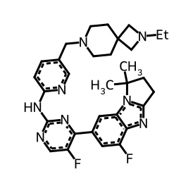 CCN1CC2(CCN(Cc3ccc(Nc4ncc(F)c(-c5cc(F)c6nc7n(c6c5)C(C)(C)CC7)n4)nc3)CC2)C1